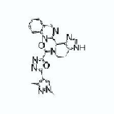 Cc1nn(C)cc1-c1nnc(C(=O)N2CCc3[nH]cnc3[C@@H]2c2ncc3ccccc3n2)o1